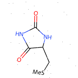 CSCC1NC(=O)NC1=O